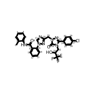 Cc1ccccc1NC(=O)c1ccccc1-n1cnc(Cn2nc(-c3ccc(Cl)cc3)n(CC(O)C(F)(F)F)c2=O)n1